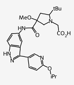 COC1(C(=O)Nc2ccc3[nH]nc(-c4ccc(OC(C)C)nc4)c3c2)CC(C(C)(C)C)N(CC(=O)O)C1